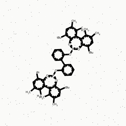 Cc1cc(C(C)C)c2op(Oc3ccccc3-c3ccccc3Op3oc4c(C(C)(C)C)cc(C)c(C)c4c4c(C)c(C)cc(C(C)(C)C)c4o3)oc3c(C(C)(C)C)cc(C)c(C)c3c2c1C